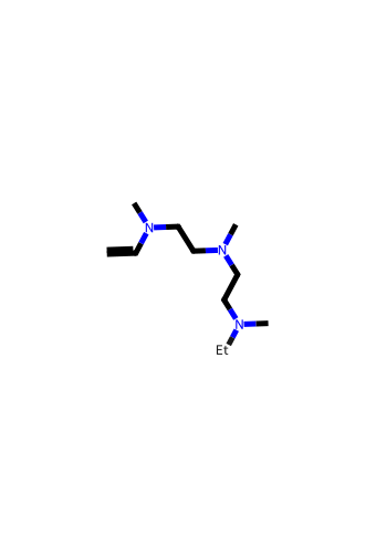 C=CN(C)CCN(C)CCN(C)CC